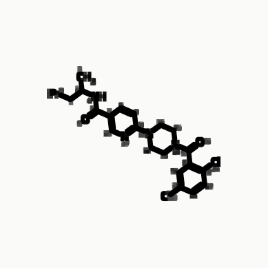 CC(C)CC(C)NC(=O)c1ccc(N2CCN(C(=O)c3cc(Cl)ccc3Cl)CC2)nc1